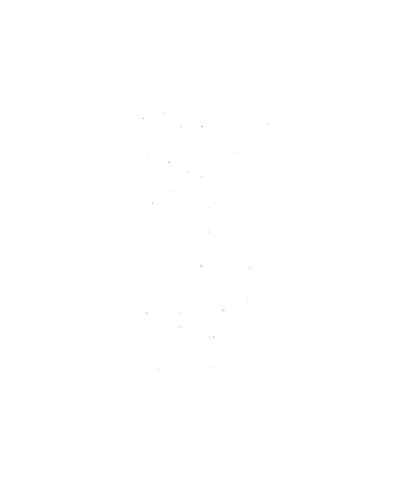 C=C/C=C\C(=C/C)c1cc2ccccc2c2c1oc1cc(-c3c4ccccc4c(-c4ccccc4)c4ccccc34)ccc12